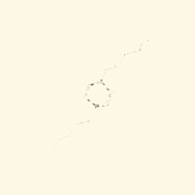 CC(C)(C)CCOCc1ccc(COCCC(C)(C)C)cc1